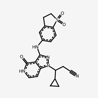 N#CCC(C1CC1)n1nc(Nc2ccc3c(c2)CCS3(=O)=O)c2c(=O)[nH]ccc21